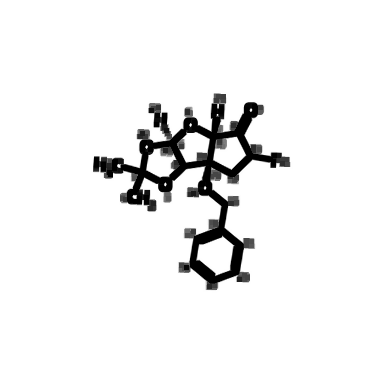 CC1(C)OC2[C@H](O[C@@H]3C(=O)C(F)C[C@]23OCc2ccccc2)O1